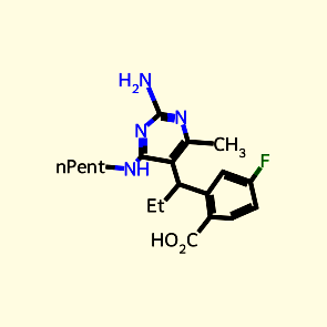 CCCCCNc1nc(N)nc(C)c1C(CC)c1cc(F)ccc1C(=O)O